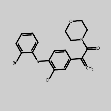 C=C(C(=O)N1CCOCC1)c1ccc(Sc2ccccc2Br)c(Cl)c1